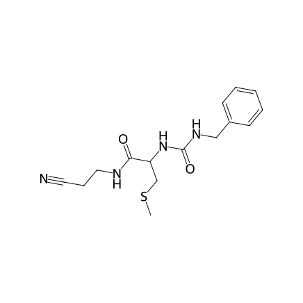 CSCC(NC(=O)NCc1ccccc1)C(=O)NCCC#N